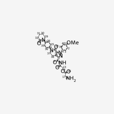 COc1ccc(-n2nc(C(=O)NC(=O)COC(=O)CN)c3c2C(=O)N(c2ccc(N4CCCCC4=O)cc2)CC3)cc1